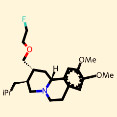 COc1cc2c(cc1OC)[C@H]1C[C@@H](COCCF)[C@H](CC(C)C)CN1CC2